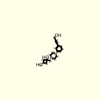 OCC#Cc1cccc(N2CCN(CC3(O)CC(O)C3)CC2)c1